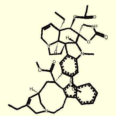 CCC1=C[C@@H]2CN(CCc3c([nH]c4ccccc34)[C@@](C(=O)OC)(c3cc4c(cc3OC)N(C)[C@H]3[C@@]5(CNC(=O)O5)[C@H](OC(C)=O)[C@]5(CC)C=CCN6CC[C@]43[C@@H]65)C2)C1